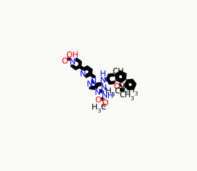 CCCC(CCO[Si](c1ccccc1)(c1ccccc1)C(C)(C)C)Nc1nc(NC(=O)OC)nc2cnn(Cc3ccc(C4CCN(C(=O)O)CC4)nc3)c12